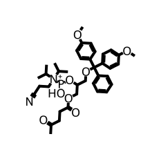 COc1ccc(C(OCC(COC(=O)CCC(C)=O)OP(O)[N+](CCC#N)(C(C)C)C(C)C)(c2ccccc2)c2ccc(OC)cc2)cc1